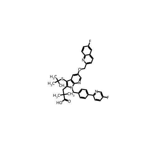 CC(C)(C)Sc1c(CC(C)(C)C(=O)O)n(Cc2ccc(-c3ccc(F)cn3)cc2)c2ncc(OCc3ccc4cc(F)ccc4n3)cc12